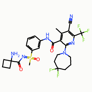 Cc1c(C#N)c(C(F)(F)F)nc(N2CCCC(F)(F)CC2)c1C(=O)Nc1cccc(S(C)(=O)=NC(=O)C2(N)CCC2)c1